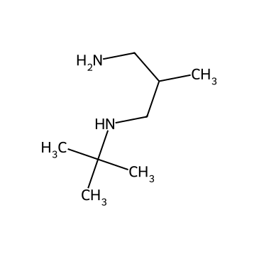 CC(CN)CNC(C)(C)C